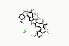 CCC1=Cc2c(-c3cc(C)ccc3C)c(C)c(C)c(C)c2[CH]1[Zr+2]1([CH]2C(CC)=Cc3c(-c4cc(C)ccc4C)c(C)c(C)c(C)c32)[CH2][CH2]1.[Cl-].[Cl-]